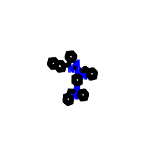 c1ccc2cc(-c3nc(-n4c5ccc(-n6c7ccccc7n7c8ccccc8cc67)cc5n5c6ccccc6cc45)nc4ccccc34)ccc2c1